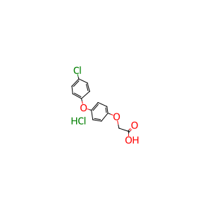 Cl.O=C(O)COc1ccc(Oc2ccc(Cl)cc2)cc1